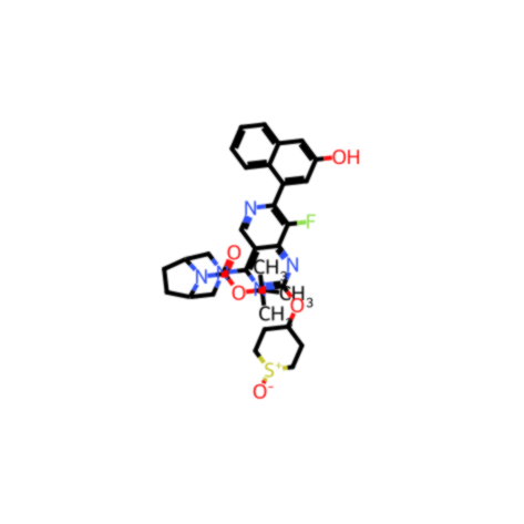 CC(C)(C)OC(=O)N1C2CCC1CN(c1nc(OC3CC[S+]([O-])CC3)nc3c(F)c(-c4cc(O)cc5ccccc45)ncc13)C2